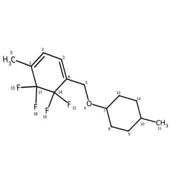 CC1=CC=C(COC2CCC(C)CC2)C(F)(F)C1(F)F